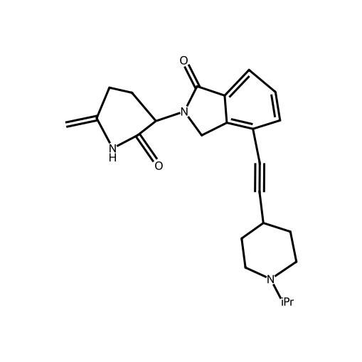 C=C1CCC(N2Cc3c(C#CC4CCN(C(C)C)CC4)cccc3C2=O)C(=O)N1